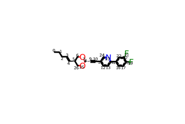 CCC/C=C/[C@H]1CO[C@H](C#Cc2ccc(-c3ccc(F)c(F)c3)nc2)OC1